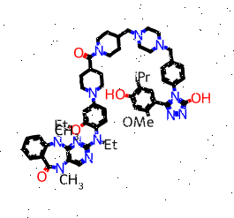 CCOc1cc(N2CCC(C(=O)N3CCC(CN4CCN(Cc5ccc(-n6c(O)nnc6-c6cc(C(C)C)c(O)cc6OC)cc5)CC4)CC3)CC2)ccc1N(CC)c1ncc2c(n1)N(C)c1ccccc1C(=O)N2C